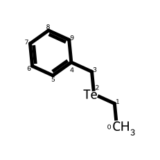 CC[Te]Cc1ccccc1